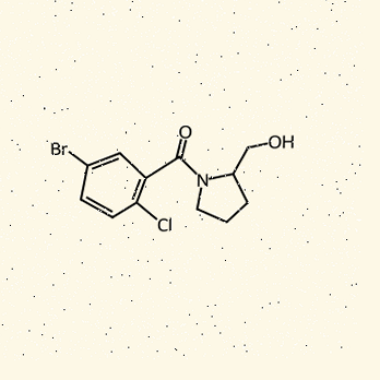 O=C(c1cc(Br)ccc1Cl)N1CCCC1CO